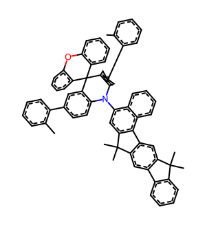 Cc1ccccc1-c1ccc2c(c1)C1(c3ccccc3Oc3ccccc31)c1cc(-c3ccccc3C)ccc1N2c1cc2c(c3ccccc13)-c1cc3c(cc1C2(C)C)-c1ccccc1C3(C)C